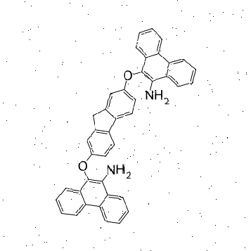 Nc1c(Oc2ccc3c(c2)Cc2cc(Oc4c(N)c5ccccc5c5ccccc45)ccc2-3)c2ccccc2c2ccccc12